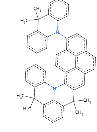 CC1(C)c2ccccc2N(c2ccc3ccc4cc5c(c6ccc2c3c46)N2c3ccccc3C(C)(C)c3cccc(c32)C5(C)C)c2ccccc21